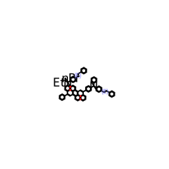 CCCC(CC)N(c1ccc(/C=C/c2ccccc2)cc1)c1ccc(C(=Cc2c3ccccc3c(C=C(c3ccccc3)c3ccc(N(c4ccccc4)c4ccc(/C=C/c5ccccc5)cc4)cc3)c3ccccc23)c2ccccc2)cc1